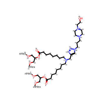 CCCCCCOCC(COCCCCCC)OC(=O)CCCCCCCN(CCCCCCCC(=O)OC(COCCCCCC)COCCCCCC)Cc1cn(CCCN2CCN(CCO)CC2)nn1